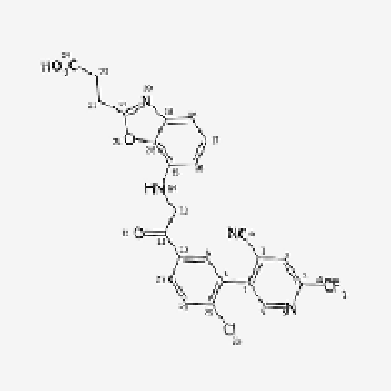 N#Cc1cc(C(F)(F)F)ncc1-c1cc(C(=O)CNc2cccc3nc(CCC(=O)O)oc23)ccc1Cl